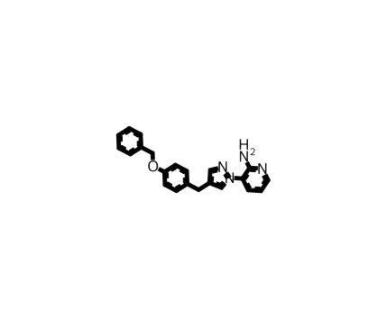 Nc1ncccc1-n1cc(Cc2ccc(OCc3ccccc3)cc2)cn1